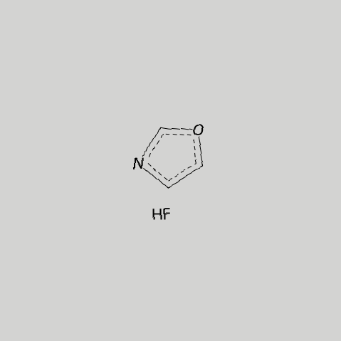 F.c1cocn1